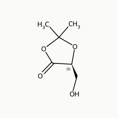 CC1(C)OC(=O)[C@H](CO)O1